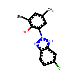 Cc1cc(-[n+]2nc3ccc(Cl)cc3[nH]2)c(O)c(C(C)(C)C)c1